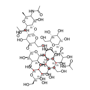 CC(=O)NC1C(O)[C@H](O[C@@H]2OC(CO)[C@H](O)C(O)[C@@H]2O)[C@H](CO)O[C@H]1O[C@@H]1C(O)[C@H](O)C(CO)O[C@@H]1OCC1O[C@@H](O[C@@H]2C(CO)O[C@@H](O[C@@H]3C(CO)O[C@@H](C)C(NC(C)=O)[C@H]3O)[C@@H](NC(C)=O)C2O)[C@H](O)C(O[C@H]2O[C@H](CO)[C@@H](O)C(O)C2O[C@@H]2OC(CO)[C@@H](O)C(O)[C@@H]2NC(C)=O)[C@@H]1O